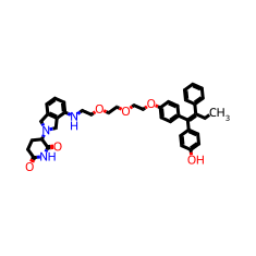 CCC(=C(c1ccc(O)cc1)c1ccc(OCCOCCOCCNc2cccc3c2CN(C2CCC(=O)NC2=O)C3)cc1)c1ccccc1